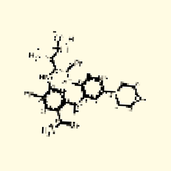 CC(C)C[C@H](Nc1nc(Nc2cc(N3CCOCC3)ncc2F)c(C(N)=O)cc1F)[C@H](C)NC(=O)O